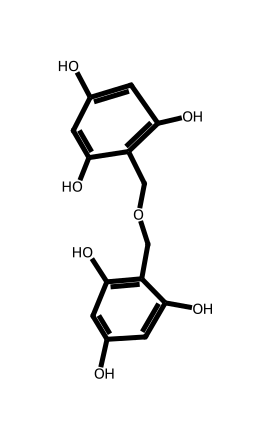 Oc1cc(O)c(COCc2c(O)cc(O)cc2O)c(O)c1